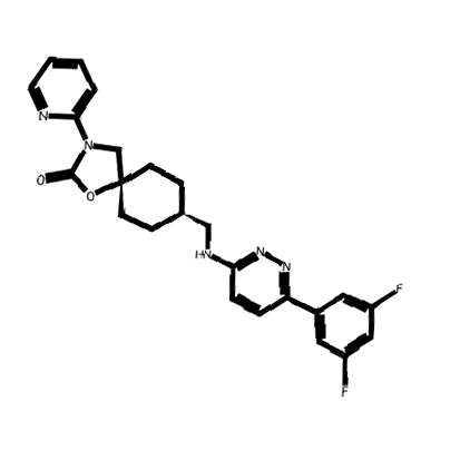 O=C1O[C@]2(CC[C@H](CNc3ccc(-c4cc(F)cc(F)c4)nn3)CC2)CN1c1ccccn1